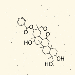 CC1(C=O)CC2C3C(=O)CC4C5(C)CCC(O)C(C)(CO)C5CCC4(C)C3(C)CC(O)C2(C)CC1OC(=O)c1ccccc1